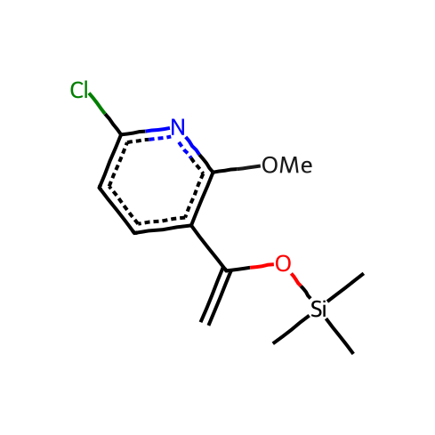 C=C(O[Si](C)(C)C)c1ccc(Cl)nc1OC